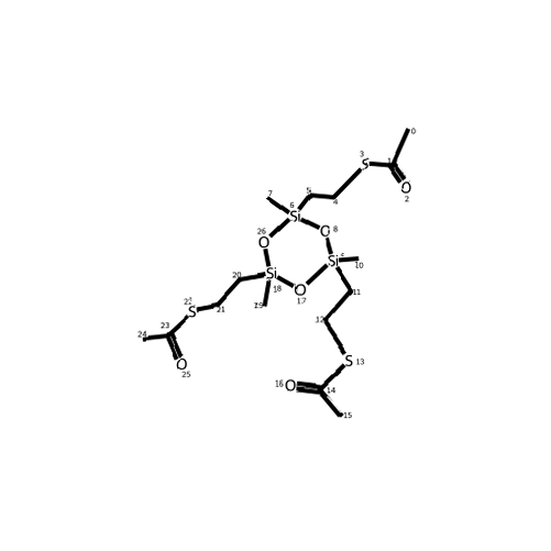 CC(=O)SCC[Si]1(C)O[Si](C)(CCSC(C)=O)O[Si](C)(CCSC(C)=O)O1